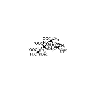 CCCCCCCCCCC(C)(C)C(=O)[O-].CCCCCCCCCCC(C)(C)C(=O)[O-].CCCCCCCCCCC(C)(C)C(=O)[O-].CCCCCCCCCCC(C)(C)C(=O)[O-].[Sn+4]